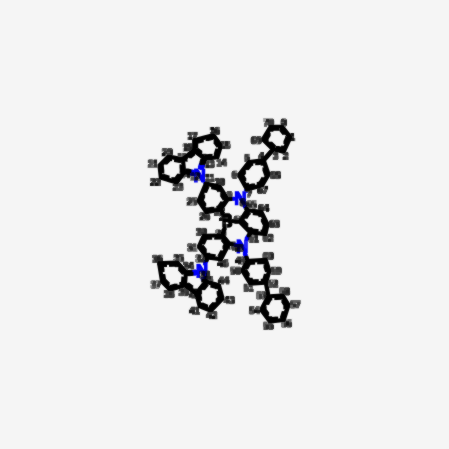 c1ccc(-c2ccc(N3c4cc(-n5c6ccccc6c6ccccc65)ccc4B4c5ccc(-n6c7ccccc7c7ccccc76)cc5N(c5ccc(-c6ccccc6)cc5)c5cccc3c54)cc2)cc1